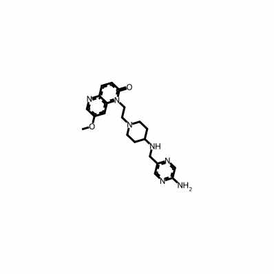 COc1cnc2ccc(=O)n(CCN3CCC(NCc4cnc(N)cn4)CC3)c2c1